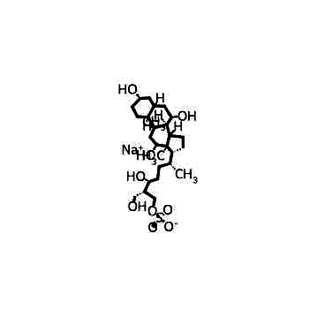 C[C@H](CC[C@@H](O)[C@@H](CO)COS(=O)(=O)[O-])[C@H]1CC[C@H]2[C@@H]3[C@H](O)C[C@@H]4C[C@H](O)CC[C@]4(C)[C@H]3C[C@H](O)[C@]12C.[Na+]